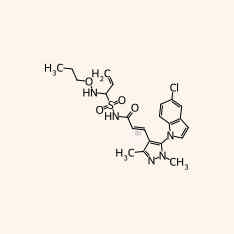 C=CC(NOCCC)S(=O)(=O)NC(=O)/C=C/c1c(C)nn(C)c1-n1ccc2cc(Cl)ccc21